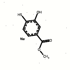 COC(=O)c1ccc(S)c(O)c1.[Na]